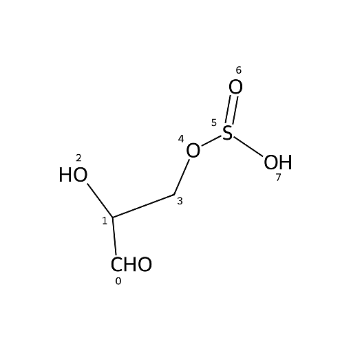 O=CC(O)COS(=O)O